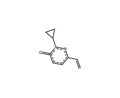 C=Cc1ccc(=O)n(C2CC2)n1